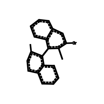 Cc1ccc2ccccc2c1-c1c(C)c(Br)cc2ccccc12